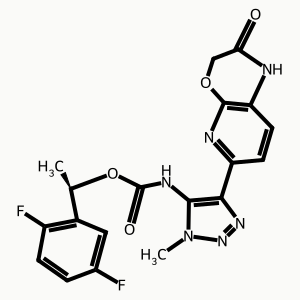 C[C@@H](OC(=O)Nc1c(-c2ccc3c(n2)OCC(=O)N3)nnn1C)c1cc(F)ccc1F